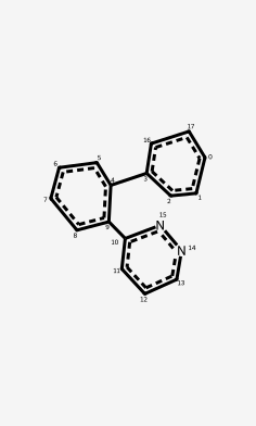 c1ccc(-c2ccccc2-c2cccnn2)cc1